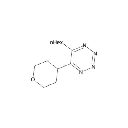 CCCCCCc1nnnnc1C1CCOCC1